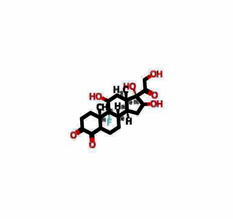 C[C@]12CCC(=O)C(=O)C1CC[C@H]1[C@@H]3CC(O)[C@](O)(C(=O)CO)[C@@]3(C)CC(O)[C@@]12F